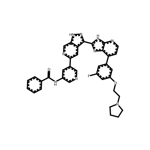 O=C(Nc1cncc(-c2cc3c(-c4nc5c(-c6cc(F)cc(OCCN7CCCC7)c6)ccnc5[nH]4)n[nH]c3cn2)c1)c1ccccc1